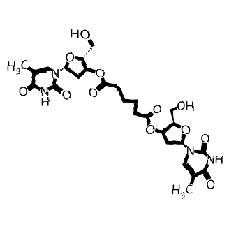 Cc1cn([C@H]2CC(OC(=O)CCCCC(=O)OC3C[C@H](n4cc(C)c(=O)[nH]c4=O)O[C@@H]3CO)[C@@H](CO)O2)c(=O)[nH]c1=O